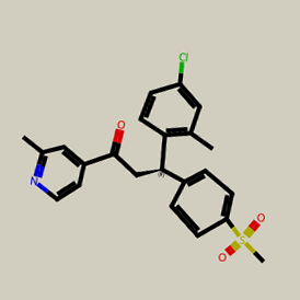 Cc1cc(C(=O)C[C@H](c2ccc(S(C)(=O)=O)cc2)c2ccc(Cl)cc2C)ccn1